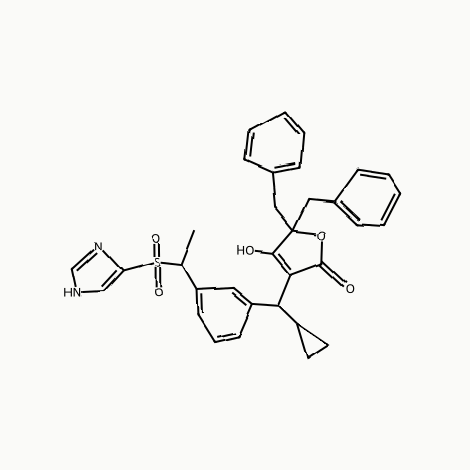 CC(c1cccc(C(C2=C(O)C(Cc3ccccc3)(Cc3ccccc3)OC2=O)C2CC2)c1)S(=O)(=O)c1c[nH]cn1